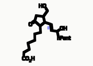 CCCCCC(O)/C=C/C1C(CO)CC(=O)C1CCCCCCC(=O)O